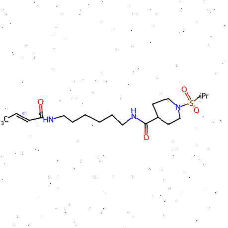 C/C=C/C(=O)NCCCCCCNC(=O)C1CCN(S(=O)(=O)C(C)C)CC1